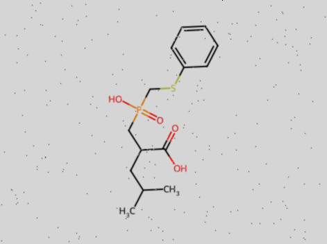 CC(C)CC(CP(=O)(O)CSc1ccccc1)C(=O)O